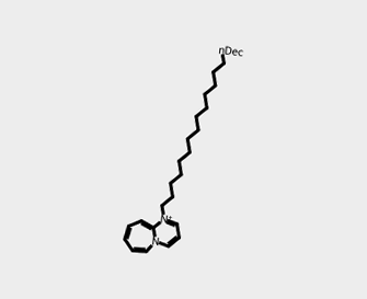 CCCCCCCCCCCCCCCCCCCCCCCC[N+]1=CC=CN2C=CC=CC=C21